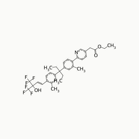 CCOC(=O)Cc1ccc(-c2ccc(C(CC)(CC)c3ccc(C=CC(O)(C(F)(F)F)C(F)(F)F)c(C)c3)cc2C)nc1